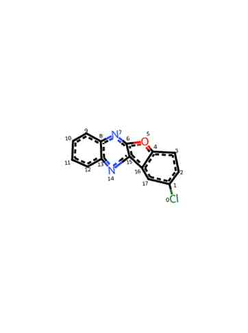 Clc1ccc2oc3nc4ccccc4nc3c2c1